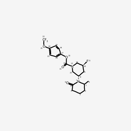 CC1CCCC(=O)N1[C@H]1C[C@H](F)CN(C(=O)Oc2ccc(OC(F)(F)F)cc2)C1